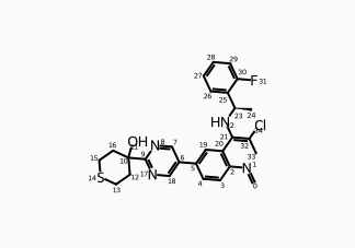 C=Nc1ccc(-c2cnc(C3(O)CCSCC3)nc2)cc1/C(N[C@H](C)c1ccccc1F)=C(\C)Cl